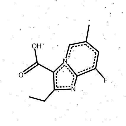 CCc1nc2c(F)cc(C)cn2c1C(=O)O